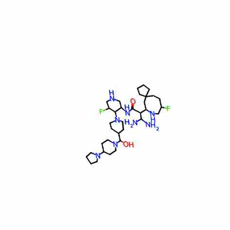 NC(N)C(C(=O)NC1CNCC(F)C1N1CCC(C(O)N2CCC(N3CCCC3)CC2)CC1)C1CC2(CCCC2)CCC(F)CN1